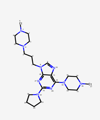 CCN1CCN(CCCn2cnc3c(N4CCN(CC)CC4)nc(N4CCCC4)nc32)CC1